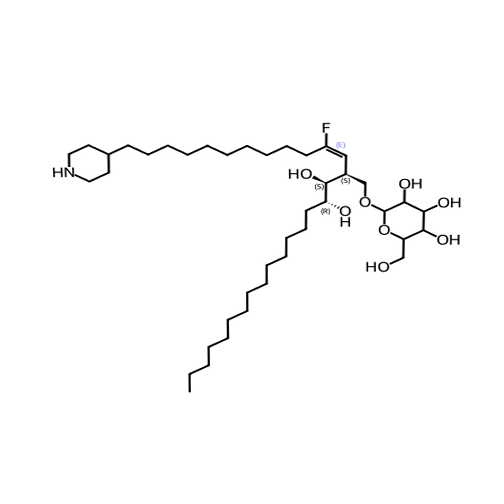 CCCCCCCCCCCCCC[C@@H](O)[C@@H](O)[C@@H](/C=C(/F)CCCCCCCCCCC1CCNCC1)COC1OC(CO)C(O)C(O)C1O